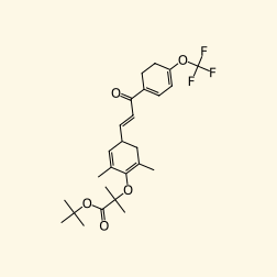 CC1=CC(/C=C/C(=O)C2=CC=C(OC(F)(F)F)CC2)CC(C)=C1OC(C)(C)C(=O)OC(C)(C)C